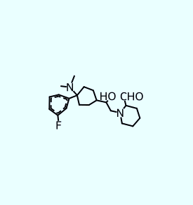 CN(C)C1(c2cccc(F)c2)CCC(C(O)CN2CCCCC2C=O)CC1